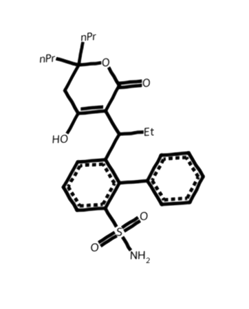 CCCC1(CCC)CC(O)=C(C(CC)c2cccc(S(N)(=O)=O)c2-c2ccccc2)C(=O)O1